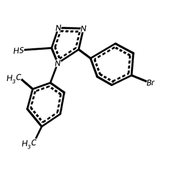 Cc1ccc(-n2c(S)nnc2-c2ccc(Br)cc2)c(C)c1